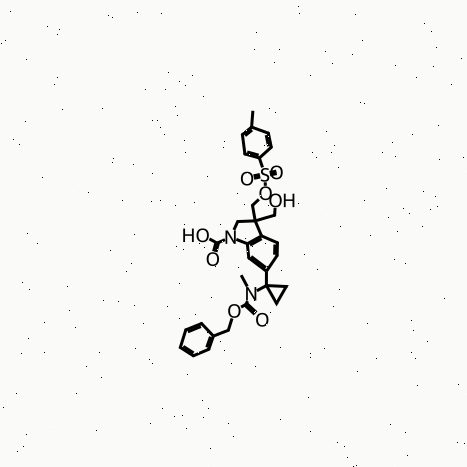 Cc1ccc(S(=O)(=O)OCC2(CO)CN(C(=O)O)c3cc(C4(N(C)C(=O)OCc5ccccc5)CC4)ccc32)cc1